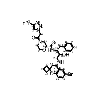 CCCc1cn(CC(=O)N2CCO[C@@H](C(=O)N[C@@H](Cc3ccccc3)[C@@H](O)CN[C@H]3CC4(CCC4)Oc4ccc(Br)cc43)C2)nn1